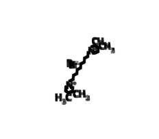 Cc1cc[n+](CCCCCCCCCCC[n+]2ccc(C)c(C)c2)cc1C.[Br-].[Br-]